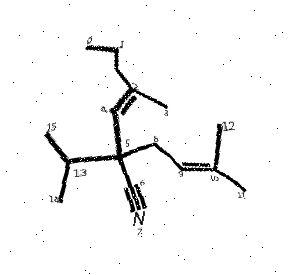 CCC(C)=CC(C#N)(CC=C(C)C)C(C)C